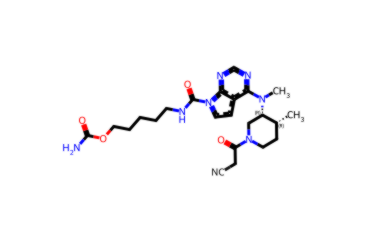 C[C@@H]1CCN(C(=O)CC#N)C[C@@H]1N(C)c1ncnc2c1ccn2C(=O)NCCCCCOC(N)=O